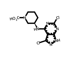 O=C(O)N1CCC[C@@H](Nc2nc(Cl)nc3[nH]nc(Cl)c23)C1